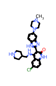 CN1CCN(c2ccc3[nH]c(-c4c(NCC5CCNCC5)c5cc(Cl)ccc5[nH]c4=O)nc3c2)CC1